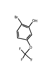 Oc1cc(OC(F)(F)F)ccc1Br